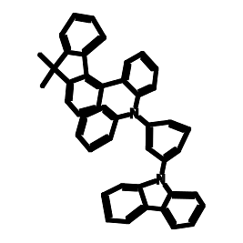 CC1(C)c2ccccc2-c2c(-c3ccccc3N(c3ccccc3)c3cccc(-n4c5ccccc5c5ccccc54)c3)cccc21